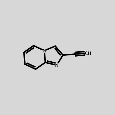 C#Cc1cn2ccccc2n1